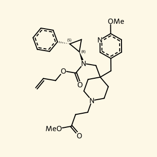 C=CCOC(=O)N(CC1(Cc2ccc(OC)nc2)CCN(CCC(=O)OC)CC1)[C@@H]1C[C@H]1c1ccccc1